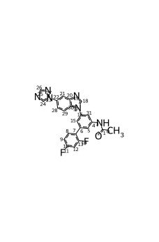 CC(=O)Nc1cc(-c2ccc(F)cc2F)cc(-n2cnc3cc(-n4cncn4)ccc32)c1